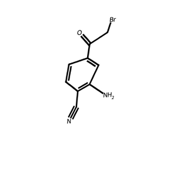 N#Cc1ccc(C(=O)CBr)cc1N